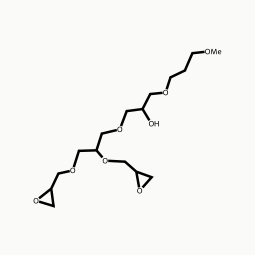 COCCCOCC(O)COCC(COCC1CO1)OCC1CO1